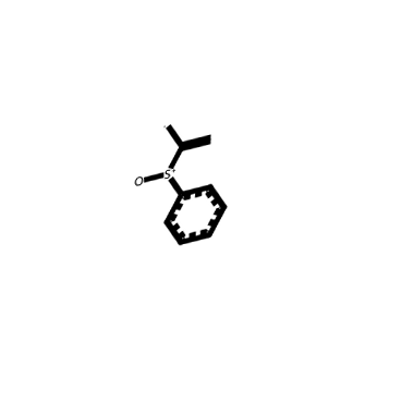 [CH2]C(=C)[S+]([O-])c1ccccc1